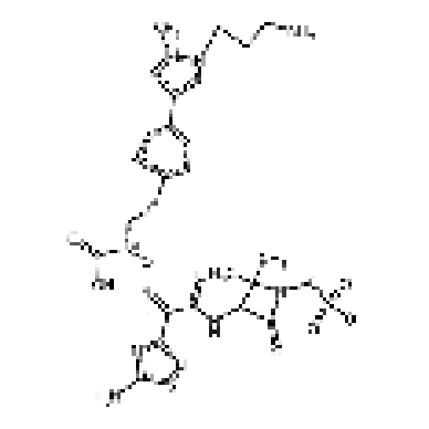 C[n+]1cc(-c2ccc(OC[C@H](O/N=C(\C(=O)NC3C(=O)N(OS(=O)(=O)[O-])C3(C)C)c3nsc(N)n3)C(=O)O)cc2)cn1CCCN